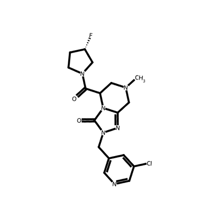 CN1Cc2nn(Cc3cncc(Cl)c3)c(=O)n2C(C(=O)N2CC[C@H](F)C2)C1